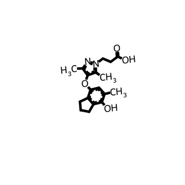 Cc1cc(Oc2c(C)nn(CCC(=O)O)c2C)c2c(c1O)CCC2